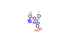 O=C(O)c1ccc2[nH]c(C(Cc3ccc(F)cc3)n3ccc(-c4cc(Cl)ccc4-n4cnnn4)cc3=O)nc2c1